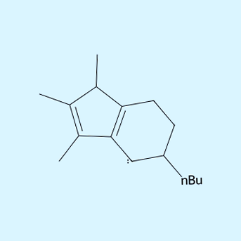 CCCCC1[C]C2=C(CC1)C(C)C(C)=C2C